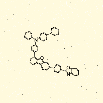 c1ccc(-c2ccc(N(c3ccccc3)c3ccc(-c4cccc5c4oc4cc(-c6ccc(-c7nc8ccccc8o7)cc6)ccc45)cc3)cc2)cc1